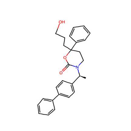 C[C@@H](c1ccc(-c2ccccc2)cc1)N1CCC(CCCO)(c2ccccc2)OC1=O